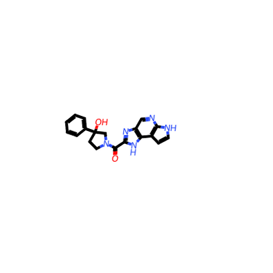 O=C(c1nc2cnc3[nH]ccc3c2[nH]1)N1CCC(O)(c2ccccc2)C1